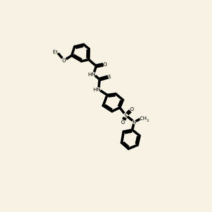 CCOc1cccc(C(=O)NC(=S)Nc2ccc(S(=O)(=O)N(C)c3ccccc3)cc2)c1